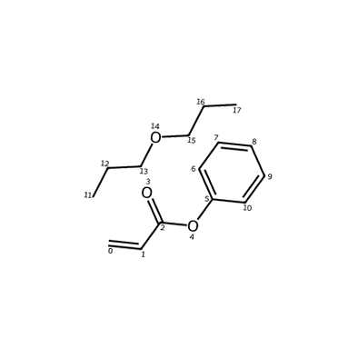 C=CC(=O)Oc1ccccc1.CCCOCCC